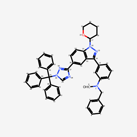 O=CN(Cc1ccccc1)c1cccc(-c2nn(C3CCCCO3)c3ccc(-c4ncn(C(c5ccccc5)(c5ccccc5)c5ccccc5)n4)cc23)c1